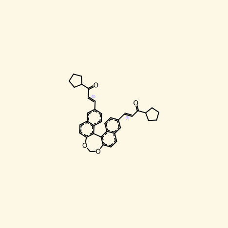 O=C(/C=C/c1ccc2c3c(ccc2c1)OCOc1ccc2cc(/C=C/C(=O)C4CCCC4)ccc2c1-3)C1CCCC1